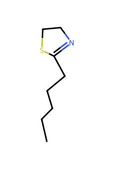 CCCCCC1=NCCS1